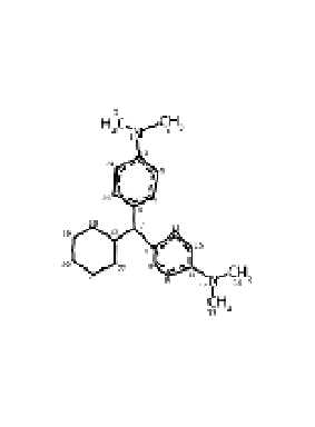 CN(C)c1ccc(C(c2ccc(N(C)C)cc2)C2CCCCC2)cc1